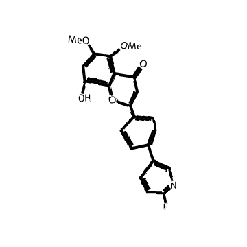 COc1cc(O)c2oc(-c3ccc(-c4ccc(F)nc4)cc3)cc(=O)c2c1OC